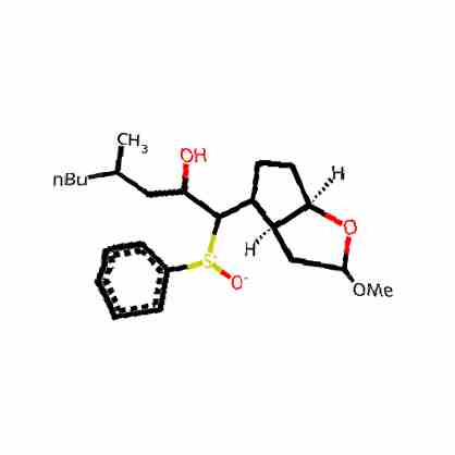 CCCCC(C)CC(O)C(C1CC[C@H]2OC(OC)C[C@@H]12)[S+]([O-])c1ccccc1